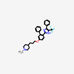 CN1CCC(CCCOc2ccc(-c3nc(-c4ccccc4)c(C(F)(F)F)[nH]3)c(-c3ccccc3)c2)CC1